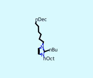 CCCCCCCCCCCCCCCCN1C=CN(CCCCCCCC)C1CCCC